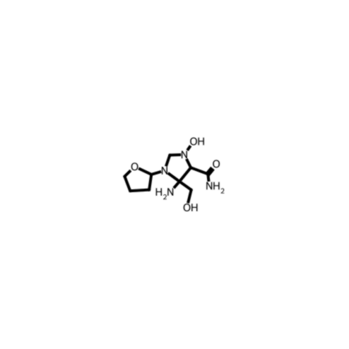 NC(=O)C1N(O)CN(C2CCCO2)C1(N)CO